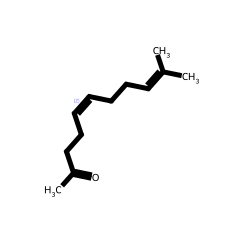 CC(=O)CC/C=C\CCC=C(C)C